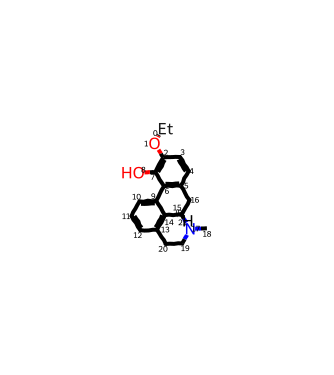 CCOc1ccc2c(c1O)-c1cccc3c1[C@@H](C2)N(C)CC3